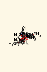 CCCCCCCCN1C(C)(C)CC(OC(=O)CC(C(=O)OC2CC(C)(C)N(CCCCCCCC)C(C)(C(C)C)C2)C(=O)OC2CC(C)(C)N(CCCCCCCC)C(C)(C(C)C)C2)CC1(C)C(C)C